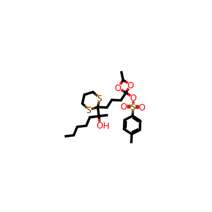 CCCCCC(C)(O)C1(CCCC2(OS(=O)(=O)c3ccc(C)cc3)OC(C)O2)SCCCS1